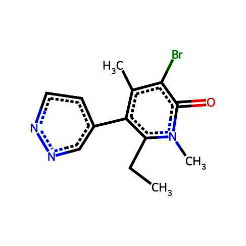 CCc1c(-c2ccnnc2)c(C)c(Br)c(=O)n1C